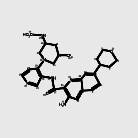 Nc1cc2ccc(C3CCOCC3)cc2nc1C(=O)Nc1cnccc1N1CC(NC(=O)O)CC(C(F)(F)F)C1